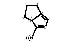 Nc1ncc2n1CCC2